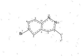 CCc1cc2cc(Br)ccc2nn1